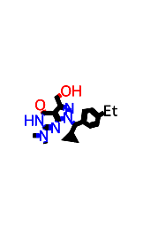 CCc1ccc(C(C2CC2)n2nc(CO)c3c(=O)[nH]c(N(C)C)nc32)cc1